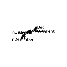 CCCCCC=CCCCCCN(CCCCCCCCCCCC)CCN1CCN(CCN(CCCCCCCCCCCC)CCN(CCCCCCCCCCCC)CCCCCCCCCCCC)CC1